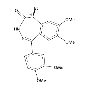 CC[C@@H]1C(=O)NN=C(c2ccc(OC)c(OC)c2)c2cc(OC)c(OC)cc21